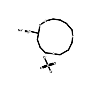 CC1CCCCCCCCCCCCOO1.O=S(=O)([O-])[O-].[Na+].[Na+]